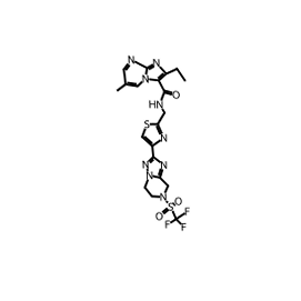 CCc1nc2ncc(C)cn2c1C(=O)NCc1nc(-c2nc3n(n2)CCN(S(=O)(=O)C(F)(F)F)C3)cs1